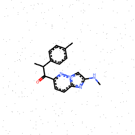 CNc1cn2nc(C(=O)C(C)c3ccc(C)cc3)ccc2n1